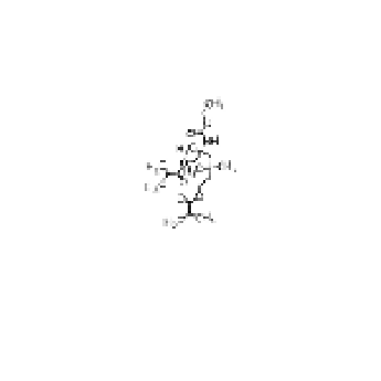 C=C(C)C(=O)OCCC(C)(C)CC(C)(COC(=O)C(=C)C)NC(=O)OCC